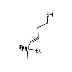 CCC(C)[PH](C)(/C=C/CCS)CC